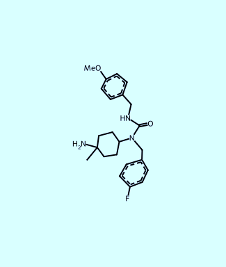 COc1ccc(CNC(=O)N(Cc2ccc(F)cc2)C2CCC(C)(N)CC2)cc1